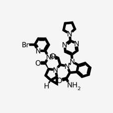 NC(=O)C1c2ccccc2N(c2cnc(N3CCCC3)nc2)N1C(C=O)N1C2C[C@@H]2C[C@H]1C(=O)Nc1cccc(Br)n1